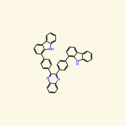 c1ccc2nc(-c3ccc(-c4cccc5c4[nH]c4ccccc45)cc3)c(-c3ccc(-c4cccc5c4[nH]c4ccccc45)cc3)nc2c1